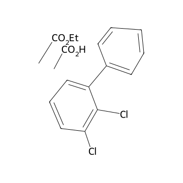 CC(=O)O.CCOC(C)=O.Clc1cccc(-c2ccccc2)c1Cl